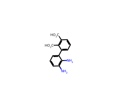 Nc1cccc(-c2cccc(C(=O)O)c2C(=O)O)c1N